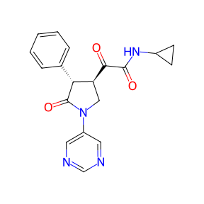 O=C(NC1CC1)C(=O)[C@H]1CN(c2cncnc2)C(=O)[C@@H]1c1ccccc1